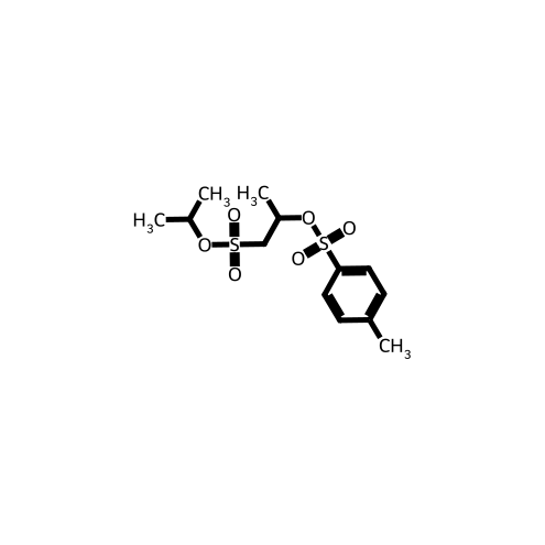 Cc1ccc(S(=O)(=O)OC(C)CS(=O)(=O)OC(C)C)cc1